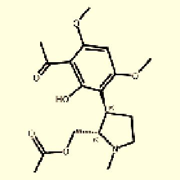 COc1cc(OC)c([C@H]2CCN(C)[C@@H]2COC(C)=O)c(O)c1C(C)=O